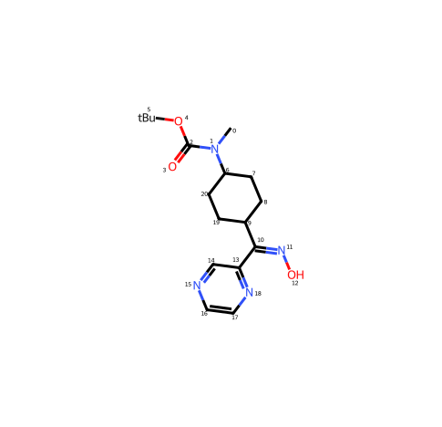 CN(C(=O)OC(C)(C)C)C1CCC(/C(=N/O)c2cnccn2)CC1